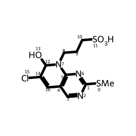 CSc1ncc2c(n1)N(CCCS(=O)(=O)O)C(O)C(Cl)=C2